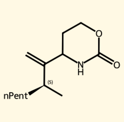 C=C(C1CCOC(=O)N1)[C@@H](C)CCCCC